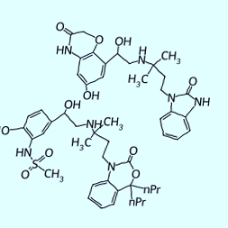 CC(C)(CCn1c(=O)[nH]c2ccccc21)NCC(O)c1cc(O)cc2c1OCC(=O)N2.CCCC1(CCC)OC(=O)N(CCC(C)(C)NCC(O)c2ccc(O)c(NS(C)(=O)=O)c2)c2ccccc21